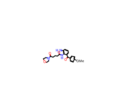 COc1ccc(C(=O)c2cccc(N)c2NC(=O)CCCC(=O)N2CCOCC2)cc1